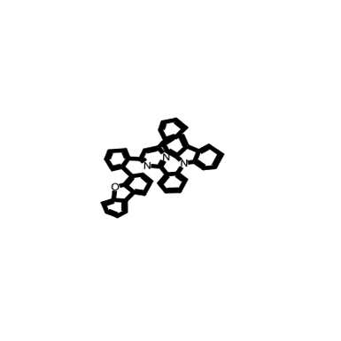 c1ccc(-c2cc(-c3ccccc3-c3cccc4c3oc3ccccc34)nc(-c3ccccc3-n3c4ccccc4c4ccccc43)n2)cc1